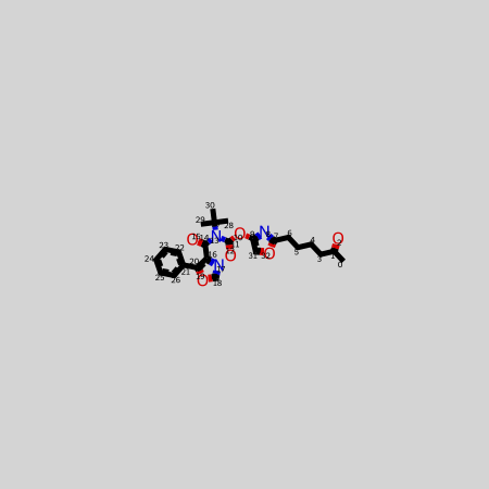 CC(=O)CCCCc1nc(OC(=O)N(C(=O)c2ncoc2-c2ccccc2)C(C)(C)C)co1